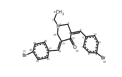 CCN1CC(=Cc2ccc(Br)cc2)C(=O)C(=Cc2ccc(Br)cc2)C1